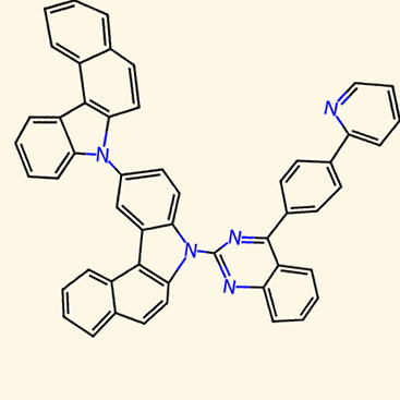 c1ccc(-c2ccc(-c3nc(-n4c5ccc(-n6c7ccccc7c7c8ccccc8ccc76)cc5c5c6ccccc6ccc54)nc4ccccc34)cc2)nc1